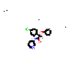 CC(Oc1ccccc1)(C(=O)Nc1cccnc1)c1ccc(Cl)cc1